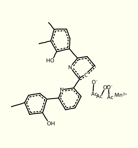 CC(=O)[O-].CC(=O)[O-].CC(=O)[O-].Cc1ccc(-c2cccc(-c3cccc(-c4ccc(C)c(C)c4O)n3)n2)c(O)c1.[Mn+3]